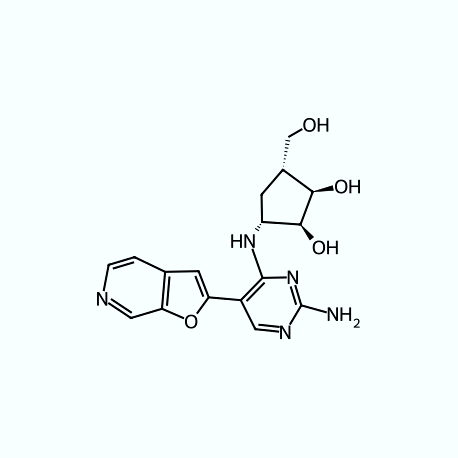 Nc1ncc(-c2cc3ccncc3o2)c(N[C@@H]2C[C@H](CO)[C@@H](O)[C@H]2O)n1